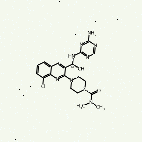 C[C@H](Nc1ncnc(N)n1)c1cc2cccc(Cl)c2nc1N1CCN(C(=O)N(C)C)CC1